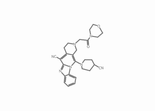 N#Cc1c2c(c(N3CCC(C#N)CC3)n3c1nc1ccccc13)CN(CC(=O)N1CCOCC1)CC2